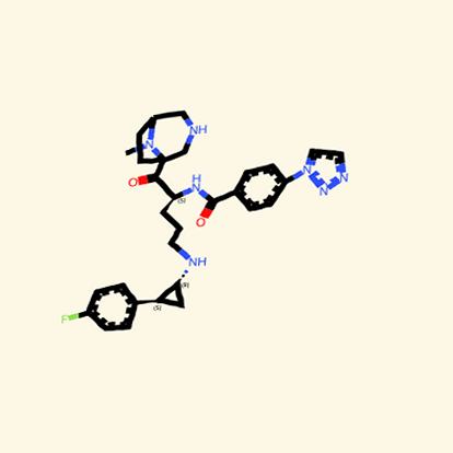 CN1C2CCC1(C(=O)[C@H](CCCN[C@@H]1C[C@H]1c1ccc(F)cc1)NC(=O)c1ccc(-n3ccnn3)cc1)CNC2